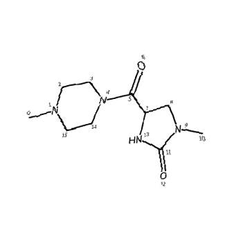 CN1CCN(C(=O)C2CN(C)C(=O)N2)CC1